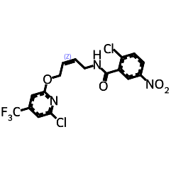 O=C(NC/C=C\COc1cc(C(F)(F)F)cc(Cl)n1)c1cc([N+](=O)[O-])ccc1Cl